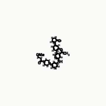 COCCC(=O)N1CCN(c2cncc(Nc3cc4c(cn3)-c3ccc(N5CCCC5=O)cc3OC4C)c2)CC1